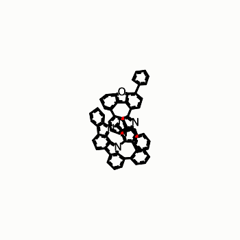 c1ccc(-c2nc(-c3ccc(-c4ccccc4)c4oc5cccc(-c6ccccc6)c5c34)nc(-n3c4ccccc4c4ccc5c6cccc7c6n(c5c43)-c3ccccc3-c3ccccc3-7)n2)cc1